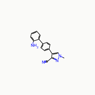 Cn1cc(-c2ccc(-c3ccccc3N)cc2)c(C#N)n1